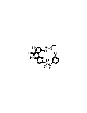 CCOC(=O)Oc1c[nH]c2c(=O)[nH]c3ccc(S(=O)(=O)Nc4cccc(Cl)c4)cc3c12